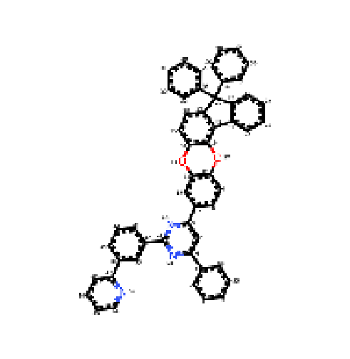 c1ccc(-c2cc(-c3ccc4c(c3)Oc3ccc5c(c3O4)-c3ccccc3C5(c3ccccc3)c3ccccc3)nc(-c3cccc(-c4ccccn4)c3)n2)cc1